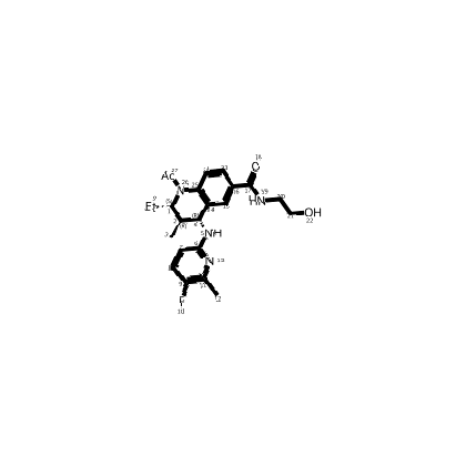 CC[C@H]1[C@H](C)[C@@H](Nc2ccc(F)c(C)n2)c2cc(C(=O)NCCO)ccc2N1C(C)=O